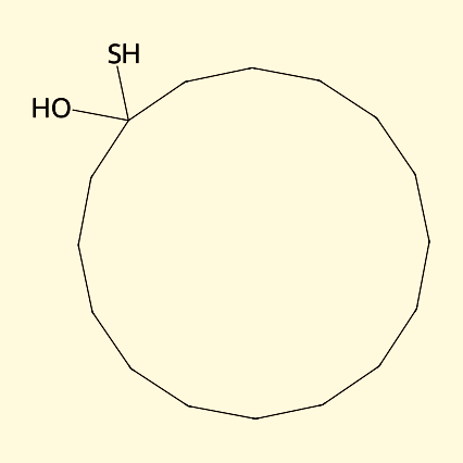 OC1(S)CCCCCCCCCCCCCCC1